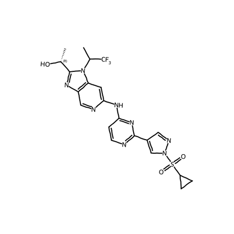 CC(n1c([C@@H](C)O)nc2cnc(Nc3ccnc(-c4cnn(S(=O)(=O)C5CC5)c4)n3)cc21)C(F)(F)F